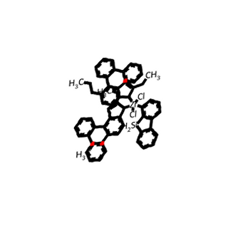 CCCc1ccc2c(c1-c1ccccc1-c1ccccc1)C=C(CC)[CH]2[Zr]([Cl])([Cl])([c]1cccc2c1[SiH2]c1ccccc1-2)[CH]1C(CC)=Cc2c1ccc(CCC)c2-c1ccccc1-c1ccccc1